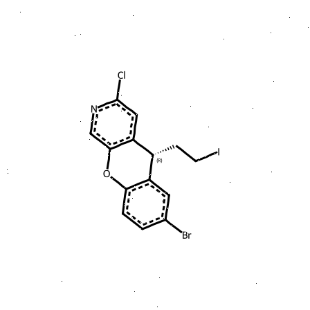 Clc1cc2c(cn1)Oc1ccc(Br)cc1[C@H]2CCI